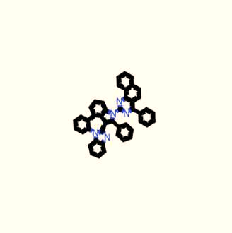 c1ccc(-c2nc(-n3c(-c4ccccc4)c4c5c(cccc53)c3ccccc3n3c5ccccc5nc43)nc3c2ccc2ccccc23)cc1